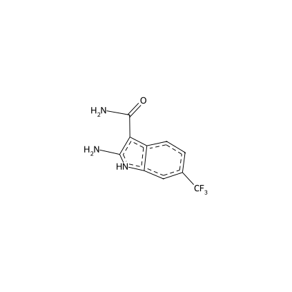 NC(=O)c1c(N)[nH]c2cc(C(F)(F)F)ccc12